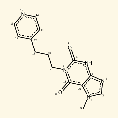 Cn1cnc2[nH]c(=O)n(CCCc3ccncc3)c(=O)c21